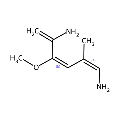 C=C(N)/C(=C\C(C)=C/N)OC